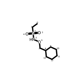 CCS(=O)(=O)NOCC1CCCCC1